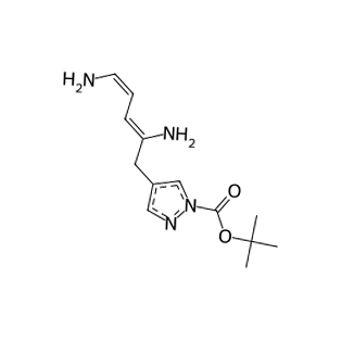 CC(C)(C)OC(=O)n1cc(C/C(N)=C/C=C\N)cn1